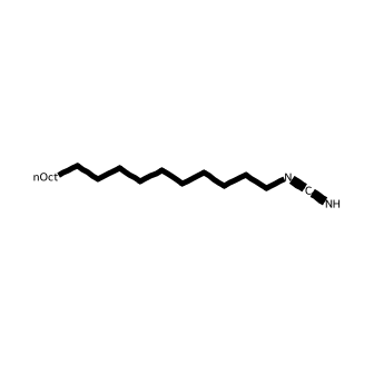 CCCCCCCCCCCCCCCCCCN=C=N